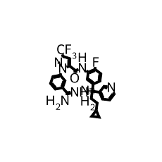 N=C(N)c1cccc(-n2nc(C(F)(F)F)cc2C(=O)Nc2cc([C@](N)(CCC3CC3)c3cccnc3)ccc2F)c1